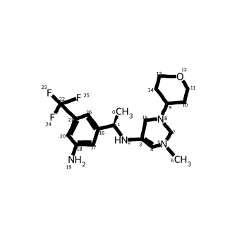 C[C@@H](NC1=CN(C)CN(C2CCOCC2)C1)c1cc(N)cc(C(F)(F)F)c1